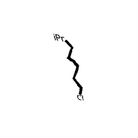 CC(C)CCCCCCl